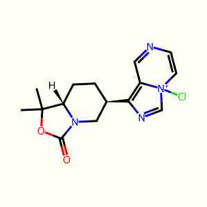 CC1(C)OC(=O)N2C[C@H](C3=C4C=NC=C[N+]4(Cl)C=N3)CC[C@H]21